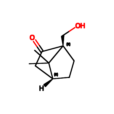 CC1(C)[C@@H]2CC[C@@]1(CO)C(=O)C2